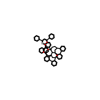 c1ccc(-c2cc(-c3ccccc3)nc(-c3ccc(-c4cccc5c4C46CC7CCC8(CCC9CC(CC(C4)c4ccccc4-5)(c4ccccc4-c4ccccc49)C86)c4ccccc4-c4ccccc47)cc3)n2)cc1